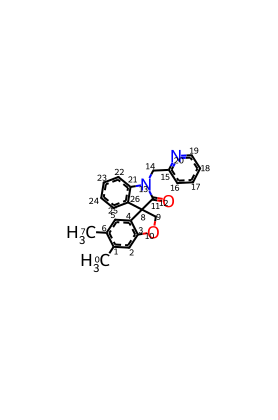 Cc1cc2c(cc1C)C1(CO2)C(=O)N(Cc2ccccn2)c2ccccc21